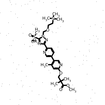 COC(=O)C(C)(C)COc1cc(C)c(-c2ccc(-c3nc([SH](C)(C)=O)n(COCC[Si](C)(C)C)n3)nc2)cn1